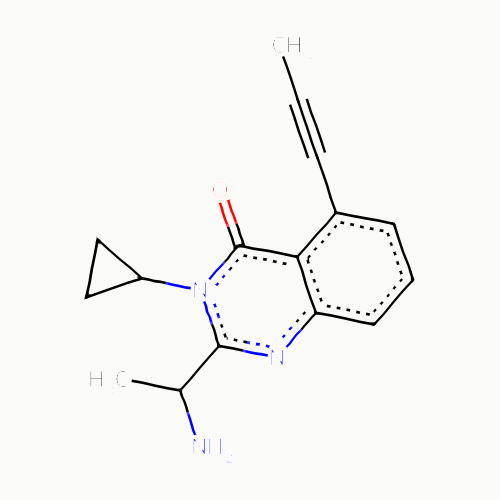 CC#Cc1cccc2nc(C(C)N)n(C3CC3)c(=O)c12